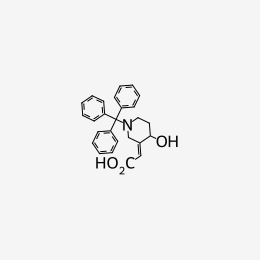 O=C(O)/C=C1\CN(C(c2ccccc2)(c2ccccc2)c2ccccc2)CCC1O